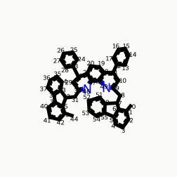 Cc1cccc2c1C(Cc1cc(-c3ccccc3)c3ccc4c(-c5ccccc5)cc(CC5c6ccccc6-c6cccc(C)c65)nc4c3n1)c1ccccc1-2